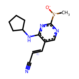 C[S+]([O-])c1ncc(/C=C/C#N)c(NC2CCCC2)n1